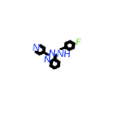 Fc1ccc(CNc2nc(-c3ccncc3)nc3ccccc23)cc1